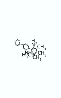 Cc1c(C)c(C)c(-c2ccc(-c3ccccc3)cc2N)c(N)c1C